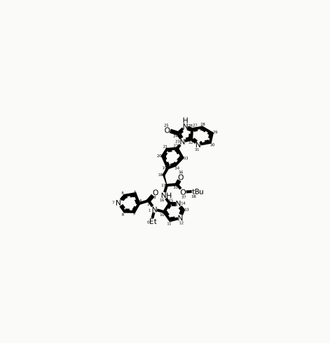 CCN(C(=O)c1ccncc1)c1cncnc1N[C@@H](Cc1ccc(-n2c(=O)[nH]c3cccnc32)cc1)C(=O)OC(C)(C)C